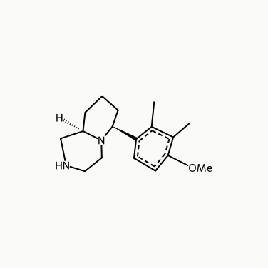 COc1ccc([C@@H]2CCC[C@@H]3CNCCN32)c(C)c1C